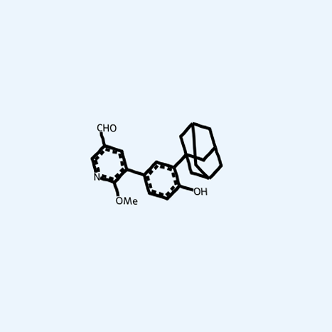 COc1ncc(C=O)cc1-c1ccc(O)c(C23CC4CC(CC(C4)C2)C3)c1